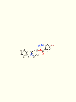 Nc1cc(Br)ccc1C(=O)OC1CCN(Cc2ccccc2)CC1